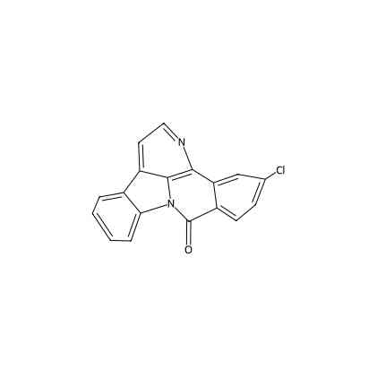 O=c1c2ccc(Cl)cc2c2nccc3c4ccccc4n1c32